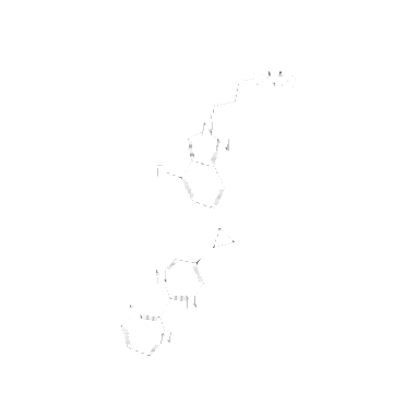 COCCCn1cc2c(F)cc([C@@H]3C[C@H]3c3cnc(-c4ncccn4)nc3)cc2n1